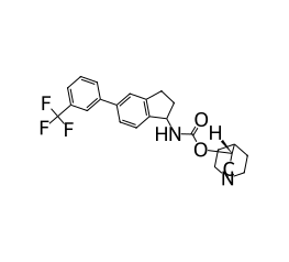 O=C(NC1CCc2cc(-c3cccc(C(F)(F)F)c3)ccc21)O[C@H]1CN2CCC1CC2